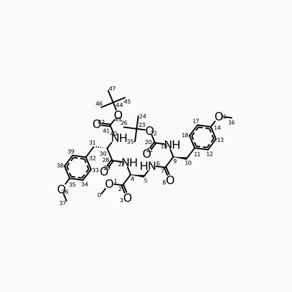 COC(=O)[C@H](CNC(=O)[C@H](Cc1ccc(OC)cc1)NC(=O)OC(C)(C)C)NC(=O)[C@H](Cc1ccc(OC)cc1)NC(=O)OC(C)(C)C